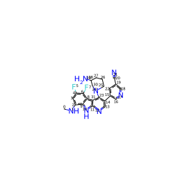 CNc1cc(F)c(F)c2c1[nH]c1ncc(-c3cncc(C#N)c3)c(N3CCCC(N)C3)c12